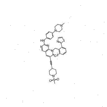 CN1CCN(c2ccc(Nc3ncc4cc(C#CC5CCN(S(C)(=O)=O)CC5)c(=O)n(Cc5c(F)cccc5-c5nccs5)c4n3)cc2)CC1